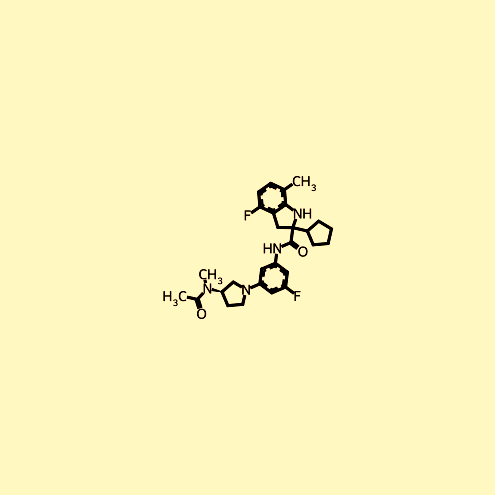 CC(=O)N(C)[C@@H]1CCN(c2cc(F)cc(NC(=O)C3(C4CCCC4)Cc4c(F)ccc(C)c4N3)c2)C1